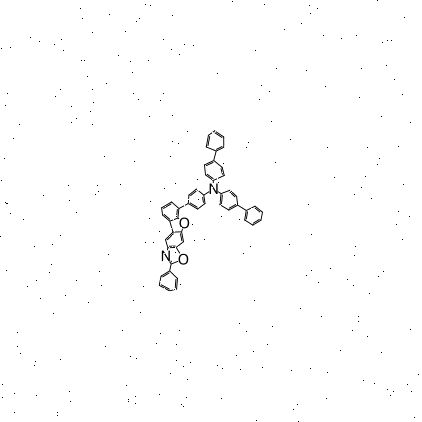 c1ccc(-c2ccc(N(c3ccc(-c4ccccc4)cc3)c3ccc(-c4cccc5c4oc4cc6oc(-c7ccccc7)nc6cc45)cc3)cc2)cc1